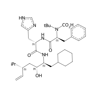 C=C[C@@H](C[C@@H](O)[C@H](CC1CCCCC1)NC(=O)[C@H](Cc1c[nH]cn1)NC(=O)[C@H](Cc1ccccc1)N(C(=O)O)C(C)(C)C)C(C)C